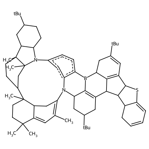 CC1=C2CC3C(=C1)C(C)(C)CCC3(C)C1CCC3(C)C4CC(C(C)(C)C)CCC4N(c4ccc5c(c4)N2C2CC(C(C)(C)C)CC4=C2B5C2CC(C(C)(C)C)=CC5=C2C4C2C4CC=CC=C4SC52)C3(C)C1